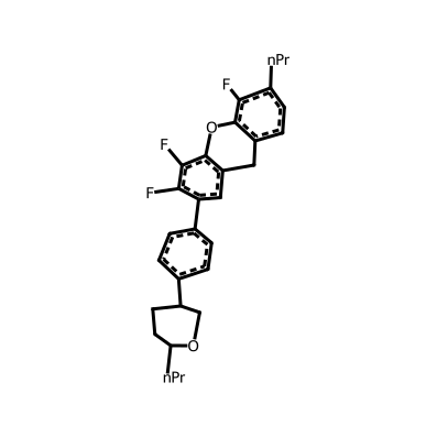 CCCc1ccc2c(c1F)Oc1c(cc(-c3ccc(C4CCC(CCC)OC4)cc3)c(F)c1F)C2